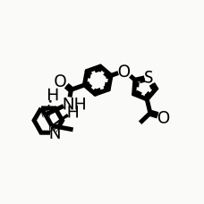 CC(=O)c1csc(Oc2ccc(C(=O)N[C@@H]3C4CCN(CC4)[C@H]3C)cc2)c1